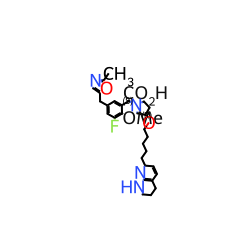 COc1c(F)cc(Cc2cnc(C)o2)cc1[C@@H](C(=O)O)N1CC[C@@H](OCCCCCc2ccc3c(n2)NCCC3)C1